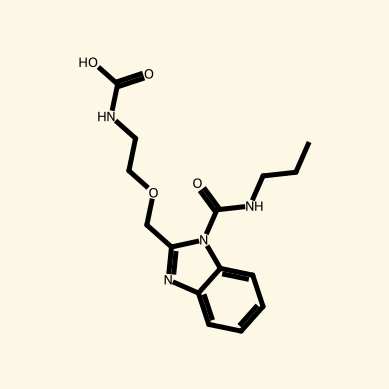 CCCNC(=O)n1c(COCCNC(=O)O)nc2ccccc21